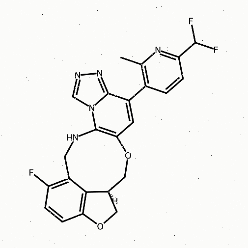 Cc1nc(C(F)F)ccc1-c1cc2c(n3cnnc13)NCc1c(F)ccc3c1[C@H](CO3)CO2